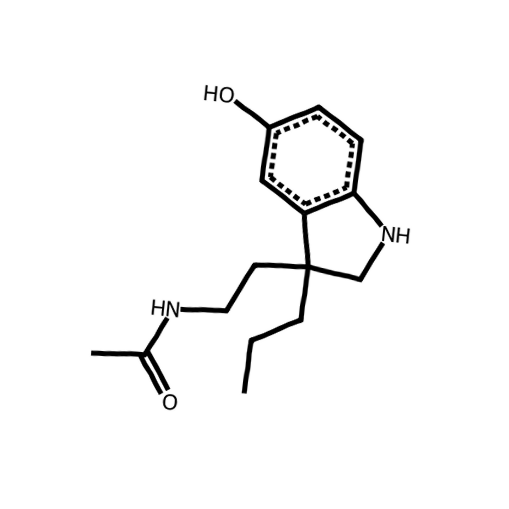 CCCC1(CCNC(C)=O)CNc2ccc(O)cc21